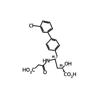 O=C(O)CC(=O)N[C@H](Cc1ccc(-c2cccc(Cl)c2)cc1)C[C@@H](O)C(=O)O